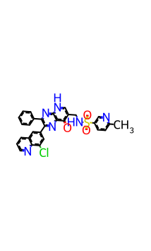 Cc1ccc(S(=O)(=O)NCc2c[nH]c3nc(-c4ccccc4)c(-c4cc(Cl)c5ncccc5c4)nc3c2=O)cn1